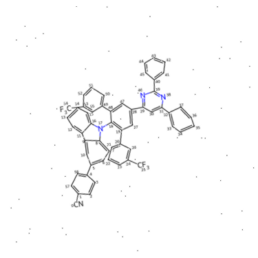 N#Cc1ccc(-c2ccc3c(c2)c2ccccc2n3-c2c(-c3cccc(C(F)(F)F)c3)cc(-c3cc(-c4ccccc4)nc(-c4ccccc4)n3)cc2-c2cccc(C(F)(F)F)c2)cc1